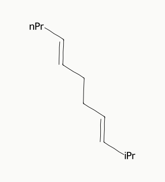 CCCC=CCCC=CC(C)C